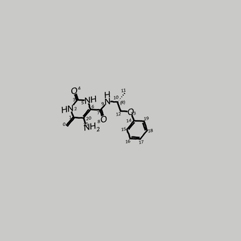 C=C1NC(=O)NC(C(=O)N[C@H](C)COc2ccccc2)=C1N